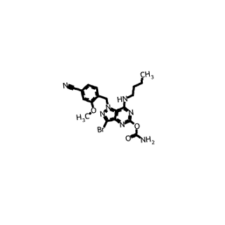 CCCCNc1nc(OC(N)=O)nc2c(Br)nn(Cc3ccc(C#N)cc3OC)c12